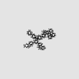 CC1(C)c2ccccc2-c2ccc(-c3cc(-c4ccc5c(c4)C(C)(C)c4ccccc4-5)cc(N(c4ccc(-c5ccccc5)cc4)c4ccc(-c5ccc6c(c5)C(C)(C)c5ccc7c(c5-6)-c5ccccc5C75c6ccccc6-c6ccccc65)cc4)c3)cc21